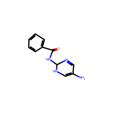 NC1=CN[C](NC(=O)c2ccccc2)N=C1